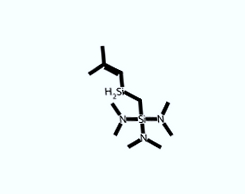 CC(C)=C[SiH2]C[Si](N(C)C)(N(C)C)N(C)C